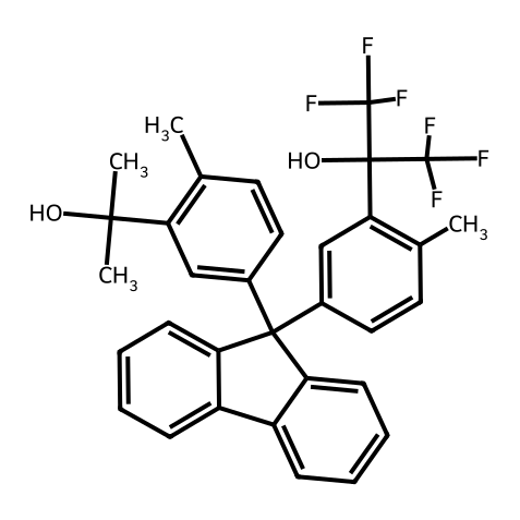 Cc1ccc(C2(c3ccc(C)c(C(O)(C(F)(F)F)C(F)(F)F)c3)c3ccccc3-c3ccccc32)cc1C(C)(C)O